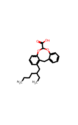 CCCCC(CC)Cc1cccc2c1Cc1ccccc1OC(C(=O)O)O2